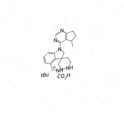 CC1CCc2ncnc(N3CC4(CCNCC4)c4c([C@H](NC(=O)O)C(C)(C)C)cccc43)c21